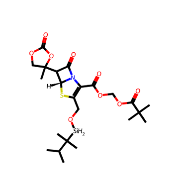 CC(C)C(C)(C)[SiH2]OCC1=C(C(=O)OCOC(=O)C(C)(C)C)N2C(=O)C(C3(C)COC(=O)O3)[C@H]2S1